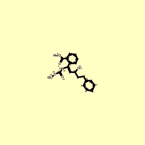 COC(=O)c1ccccc1C(=CC(O)CCc1ccccc1)NC(=O)OC(C)(C)C